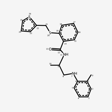 Cc1ccccc1NCC(C)NC(=O)c1ccccc1SCc1cccs1